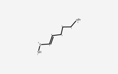 CCCCCCC=CSS